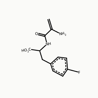 C=C(N)C(=O)NC(Cc1ccc(F)cc1)C(=O)O